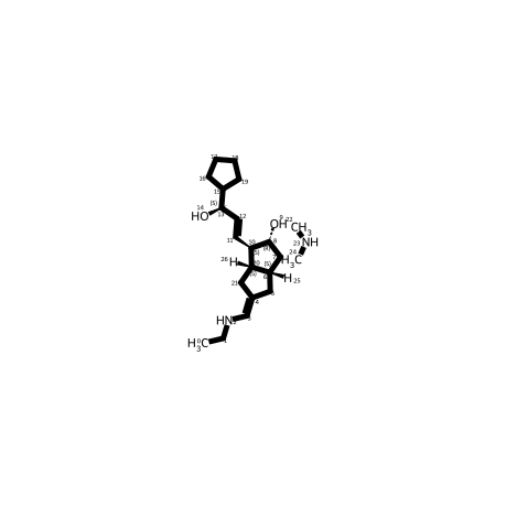 CCNC=C1C[C@H]2C[C@@H](O)[C@H](C=C[C@@H](O)C3CCCC3)[C@H]2C1.CNC